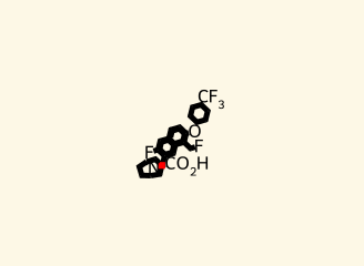 O=C(O)C1CC2CCC(C1)N2Cc1cc2c(CF)c(O[C@H]3CC[C@@H](C(F)(F)F)CC3)ccc2cc1F